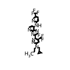 CCCN(CC1CC1)c1cc(C(F)(F)F)c(-c2cnc3c(Nc4ccc(C(F)(F)F)cn4)ccnc3n2)nn1